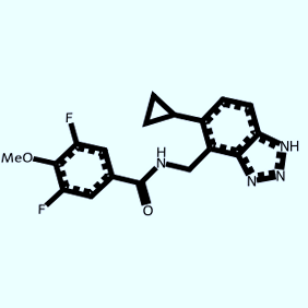 COc1c(F)cc(C(=O)NCc2c(C3CC3)ccc3[nH]nnc23)cc1F